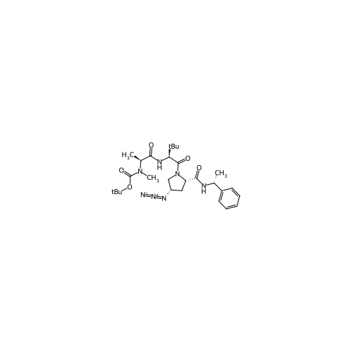 C[C@@H](NC(=O)[C@@H]1C[C@H](N=[N+]=[N-])CN1C(=O)[C@@H](NC(=O)[C@H](C)N(C)C(=O)OC(C)(C)C)C(C)(C)C)c1ccccc1